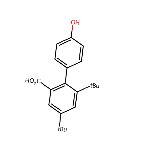 CC(C)(C)c1cc(C(=O)O)c(-c2ccc(O)cc2)c(C(C)(C)C)c1